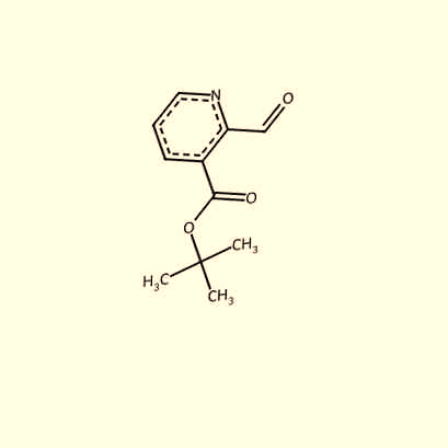 CC(C)(C)OC(=O)c1cccnc1C=O